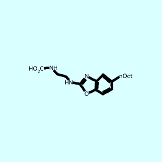 CCCCCCCCc1ccc2oc(NCCNC(=O)O)nc2c1